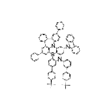 CC(C)(C)c1ccc(-c2cccc(N3c4cc(-c5ccc(C(C)(C)C)cc5)ccc4B4c5cc(-c6ccccc6)cc6c5N(c5ccc(-c7ccccc7)cc5-c5ccccc5-6)c5cc(-n6c7ccccc7c7ccccc76)cc3c54)c2)cc1